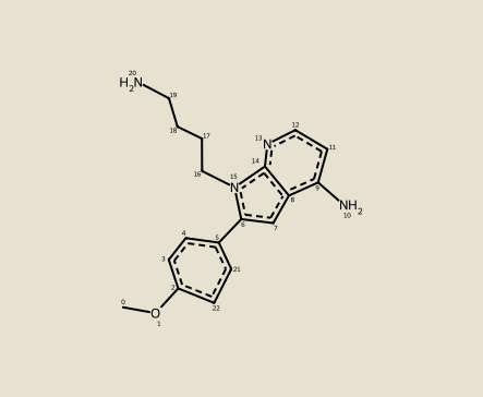 COc1ccc(-c2cc3c(N)ccnc3n2CCCCN)cc1